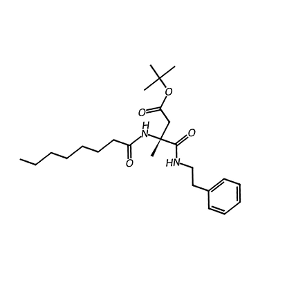 CCCCCCCC(=O)N[C@](C)(CC(=O)OC(C)(C)C)C(=O)NCCc1ccccc1